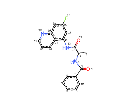 CC(NC(=O)c1ccccc1)C(=O)Nc1cc(F)cc2ncccc12